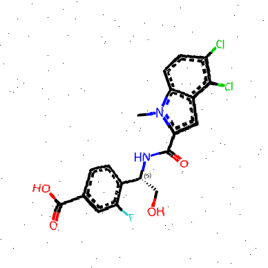 Cn1c(C(=O)N[C@H](CO)c2ccc(C(=O)O)cc2F)cc2c(Cl)c(Cl)ccc21